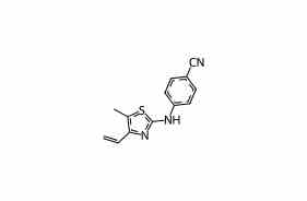 C=Cc1nc(Nc2ccc(C#N)cc2)sc1C